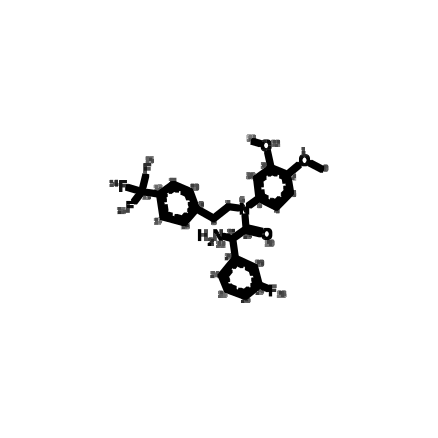 COc1ccc(N(CCc2ccc(C(F)(F)F)cc2)C(=O)C(N)c2cccc(F)c2)cc1OC